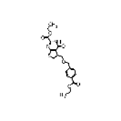 CCOC(=O)c1ccc(COCC2CSc3nc(C(=O)OCC)[nH]c(=O)c32)cc1